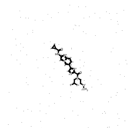 COCCN(CC(F)F)C(=O)c1nc(-c2ccc3nc(NC(=O)C4CC4)cn3c2)cs1